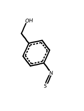 OCc1ccc(N=S)cc1